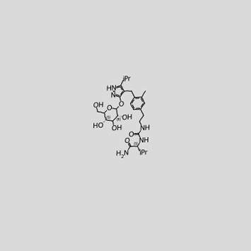 Cc1cc(CCNC(=O)N[C@H](C(N)=O)C(C)C)ccc1Cc1c(OC2OC(CO)[C@@H](O)C(O)[C@H]2O)n[nH]c1C(C)C